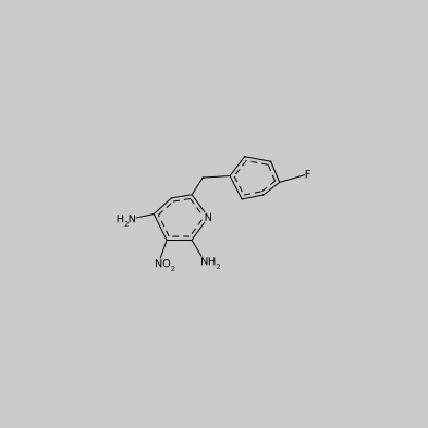 Nc1cc(Cc2ccc(F)cc2)nc(N)c1[N+](=O)[O-]